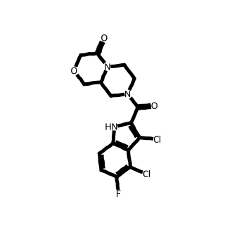 O=C(c1[nH]c2ccc(F)c(Cl)c2c1Cl)N1CCN2C(=O)COCC2C1